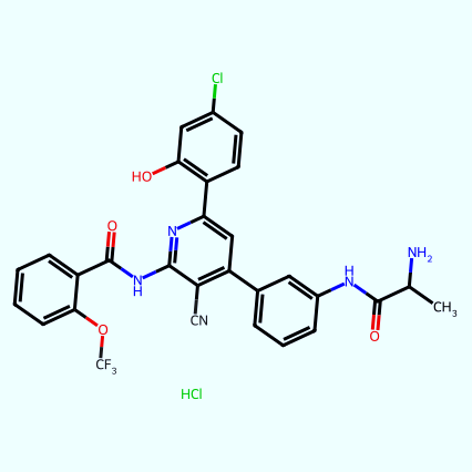 CC(N)C(=O)Nc1cccc(-c2cc(-c3ccc(Cl)cc3O)nc(NC(=O)c3ccccc3OC(F)(F)F)c2C#N)c1.Cl